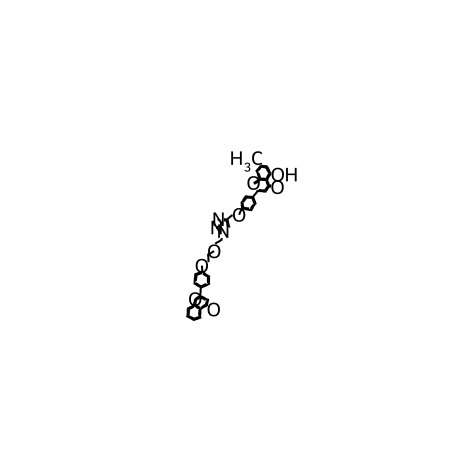 Cc1cc(O)c2c(=O)cc(-c3ccc(OCc4cn(CCOCCOc5ccc(-c6cc(=O)c7ccccc7o6)cc5)nn4)cc3)oc2c1